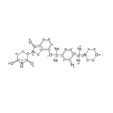 [2H]c1cc(C([2H])([2H])Oc2cccc3c2CN(C2CCC(=O)NC2=O)C3=O)ccc1C([2H])([2H])N1CCOCC1